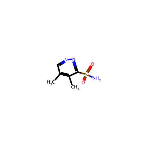 Cc1cnnc(S(N)(=O)=O)c1C